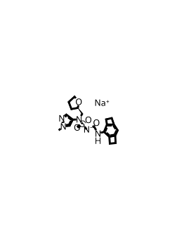 Cn1cc(N(C[C@H]2CCCO2)S(=O)(=O)[N-]C(=O)Nc2c3c(cc4c2CC4)CC3)cn1.[Na+]